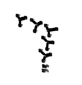 [Bi+3].[O]=[Ti]([O-])[O-].[O]=[Ti]([O-])[O-].[O]=[Ti]([O-])[O-].[O]=[Ti]([O-])[O-].[O]=[Ti]([O-])[O-].[Re+7]